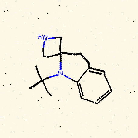 CC(C)(C)N1c2ccccc2CC12CNC2